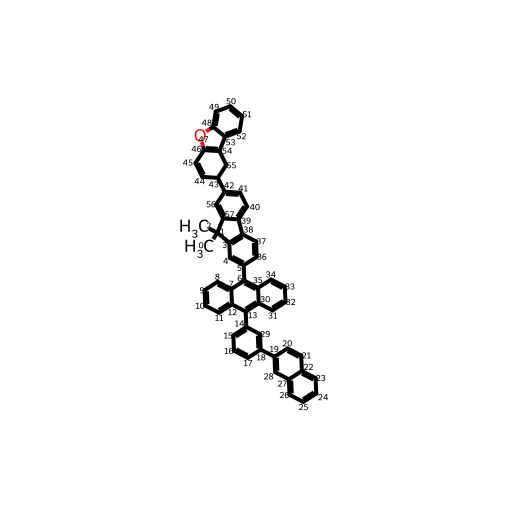 CC1(C)c2cc(-c3c4ccccc4c(-c4cccc(-c5ccc6ccccc6c5)c4)c4ccccc34)ccc2-c2ccc(C3C=Cc4oc5ccccc5c4C3)cc21